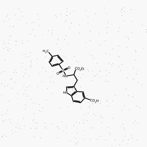 CCOC(=O)C(Cc1c[nH]c2ccc(C(=O)O)cc12)NS(=O)(=O)c1ccc(C)cc1